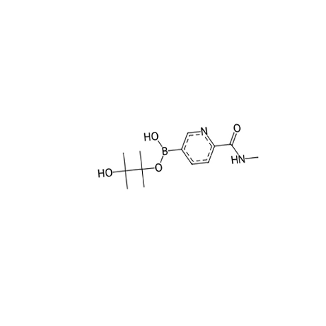 CNC(=O)c1ccc(B(O)OC(C)(C)C(C)(C)O)cn1